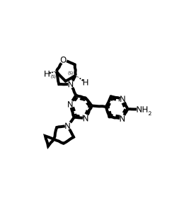 Nc1ncc(-c2cc(N3C[C@@H]4C[C@H]3CO4)nc(N3CCC4(CC4)C3)n2)cn1